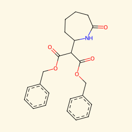 O=C1CCCCC(C(C(=O)OCc2ccccc2)C(=O)OCc2ccccc2)N1